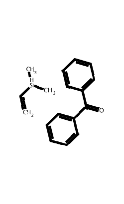 C=C[SiH](C)C.O=C(c1ccccc1)c1ccccc1